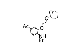 CCNc1ccc(C(C)=O)cc1OCCOC1CCCCO1